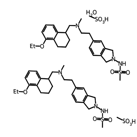 CCOc1cccc2c1CCCC2CN(C)CCc1ccc2c(c1)CN(NS(C)(=O)=O)C2.CCOc1cccc2c1CCCC2CN(C)CCc1ccc2c(c1)CN(NS(C)(=O)=O)C2.CS(=O)(=O)O.CS(=O)(=O)O.O